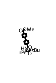 CCCN(NC(=O)c1ccc(-c2ccc(C(=O)OC)cc2)cc1)C(=O)OC(C)(C)C